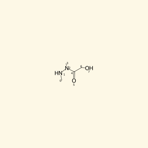 CNN(C)C(=O)CO